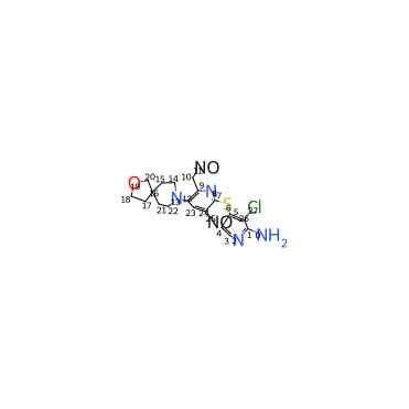 Nc1nccc(Sc2nc(CN=O)c(N3CCC4(CCOC4)CC3)cc2N=O)c1Cl